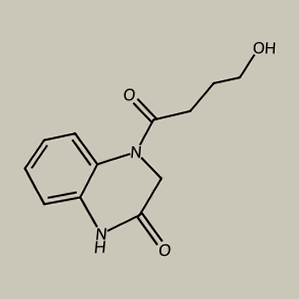 O=C1CN(C(=O)CCCO)c2ccccc2N1